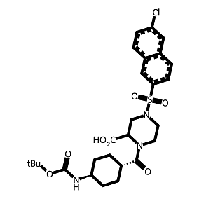 CC(C)(C)OC(=O)N[C@H]1CC[C@H](C(=O)N2CCN(S(=O)(=O)c3ccc4cc(Cl)ccc4c3)CC2C(=O)O)CC1